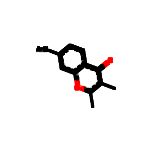 CC(=O)Oc1ccc2c(=O)c(C)c(C)oc2c1